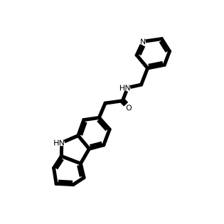 O=C(Cc1ccc2c(c1)[nH]c1ccccc12)NCc1cccnc1